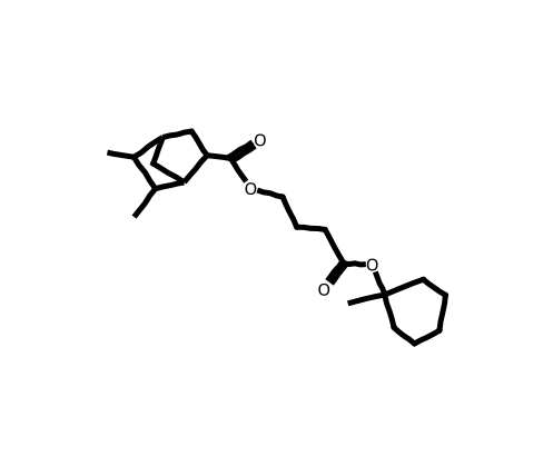 CC1C2CC(C(=O)OCCCC(=O)OC3(C)CCCCC3)C(C2)C1C